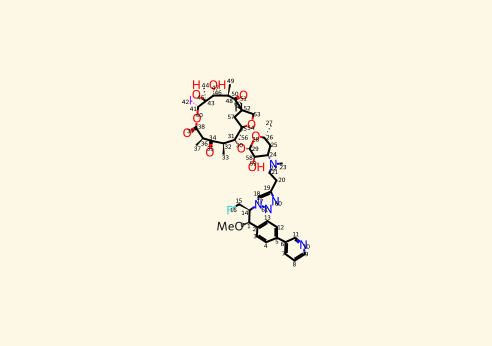 CO[C@H](c1ccc(-c2cccnc2)cc1)[C@@H](CF)n1cc(CCN(C)[C@H]2C[C@@H](C)O[C@@H](O[C@@H]3[C@@H](C)C(=O)[C@@H](C)C(=O)O[C@H](I)[C@@](C)(O)[C@H](O)[C@@H](C)C(=O)[C@@H]4CO[C@]3(C)C4)[C@@H]2O)nn1